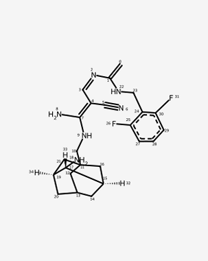 C=C(/N=C\C(C#N)=C(/N)NCC12CC3C[C@H](C1)[C@@H](N)[C@@H](C3)C2)NCc1c(F)cccc1F